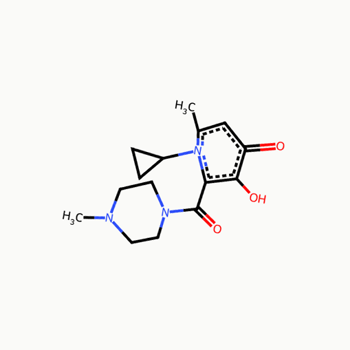 Cc1cc(=O)c(O)c(C(=O)N2CCN(C)CC2)n1C1CC1